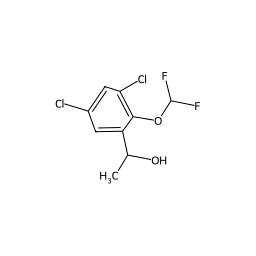 CC(O)c1cc(Cl)cc(Cl)c1OC(F)F